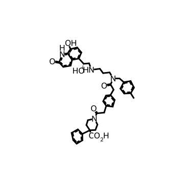 Cc1ccc(CN(CCCNC[C@H](O)c2ccc(O)c3[nH]c(=O)ccc23)C(=O)Cc2ccc(CC(=O)N3CCC(C(=O)O)(c4ccccc4)CC3)cc2)cc1